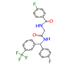 O=C(CNC(=O)c1ccc(F)cc1)NC(c1ccc(F)cc1)c1cccc(C(F)(F)F)c1